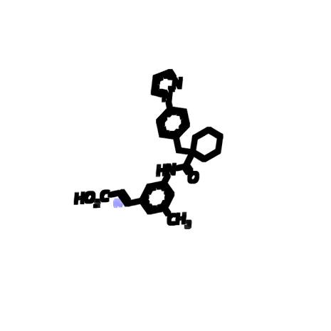 Cc1cc(/C=C/C(=O)O)cc(NC(=O)C2(Cc3ccc(-n4cccn4)cc3)CCCCC2)c1